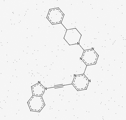 C(#Cn1ncc2ccccc21)c1ccnc(-c2ccnc(N3CCC(c4ccccc4)CC3)n2)n1